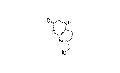 O=C1CNc2ccc(CO)nc2S1